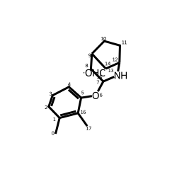 Cc1cccc(OC2CC3CCC(N2)C3[C]=O)c1C